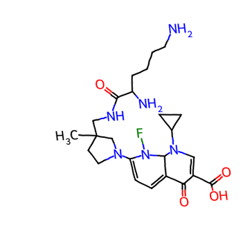 CC1(CNC(=O)C(N)CCCCN)CCN(C2=CC=C3C(=O)C(C(=O)O)=CN(C4CC4)C3N2F)C1